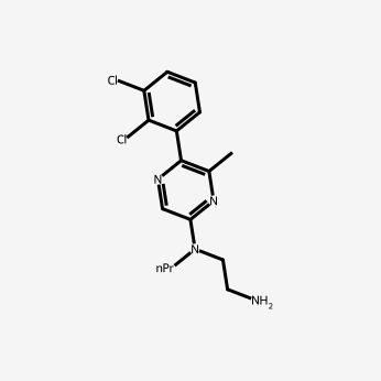 CCCN(CCN)c1cnc(-c2cccc(Cl)c2Cl)c(C)n1